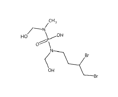 CN(CO)P(=O)(O)N(CO)CCC(Br)CBr